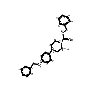 C[C@@H]1CN(c2ccc(OCc3ccccc3)cc2)CCN1C(=O)OCc1ccccc1